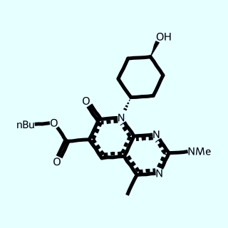 CCCCOC(=O)c1cc2c(C)nc(NC)nc2n([C@H]2CC[C@H](O)CC2)c1=O